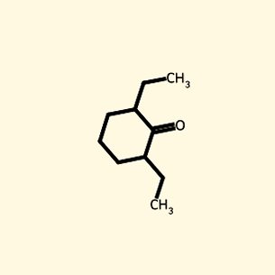 CCC1CCCC(CC)C1=O